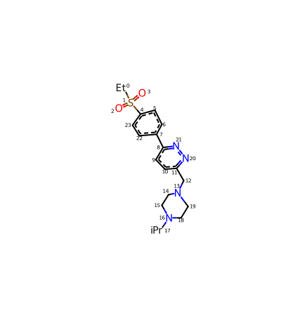 CCS(=O)(=O)c1ccc(-c2ccc(CN3CCN(C(C)C)CC3)nn2)cc1